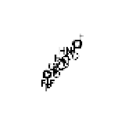 O=C(N[C@H]1C[C@H]2CN(S(=O)(=O)c3cccc(C(F)(F)F)c3)CCN2C1)c1ccc(F)cc1